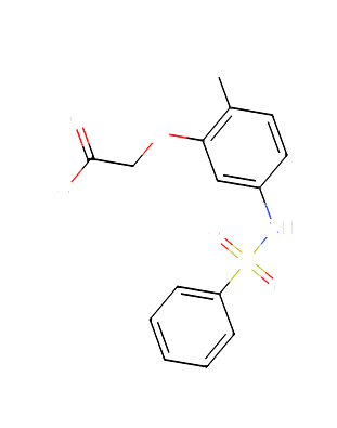 Cc1ccc(NS(=O)(=O)c2ccccc2)cc1OCC(=O)O